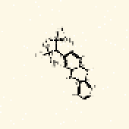 CCC(C)(C)C(C1=CC2Sc3ccccc3SC2C=C1)C(C)(C)CC